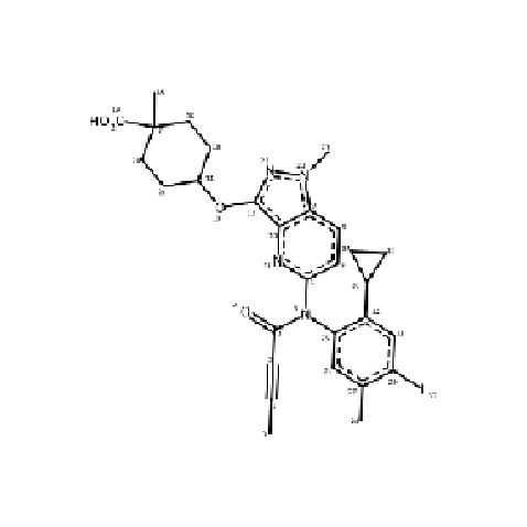 CC#CC(=O)N(c1ccc2c(n1)c(OC1CCC(C)(C(=O)O)CC1)nn2C)c1cc(C)c(I)cc1C1CC1